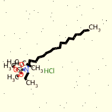 CCCCCCCCCCCCCCCCCC(C)(C)N(CCC)[Si](OC)(OC)OC.Cl